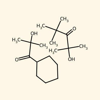 CC(C)(C)C(=O)C(C)(C)O.CC(C)(O)C(=O)C1CCCCC1